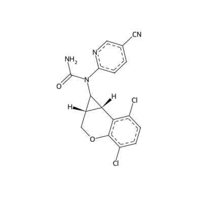 N#Cc1ccc(N(C(N)=O)C2[C@H]3COc4c(Cl)ccc(Cl)c4[C@@H]23)nc1